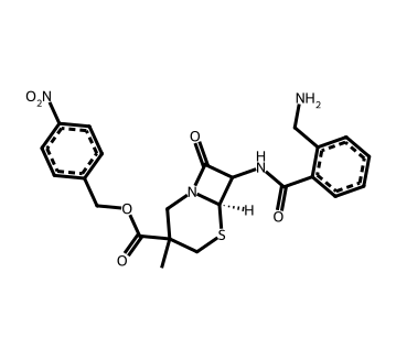 CC1(C(=O)OCc2ccc([N+](=O)[O-])cc2)CS[C@@H]2C(NC(=O)c3ccccc3CN)C(=O)N2C1